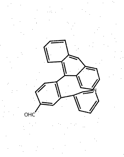 O=Cc1ccc(-c2c3ccccc3cc3ccccc23)c(-c2cccnc2)c1